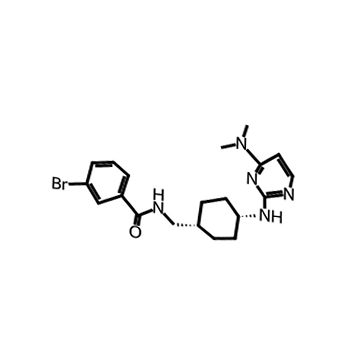 CN(C)c1ccnc(N[C@H]2CC[C@@H](CNC(=O)c3cccc(Br)c3)CC2)n1